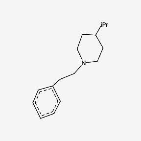 CC(C)C1CCN(CCc2ccccc2)CC1